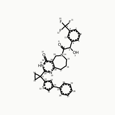 O=C([C@H](O)c1cccc(C(F)(F)F)c1)N1CCCc2nc(C3(c4cc(-c5ccccc5)cs4)CC3)[nH]c(=O)c2C1